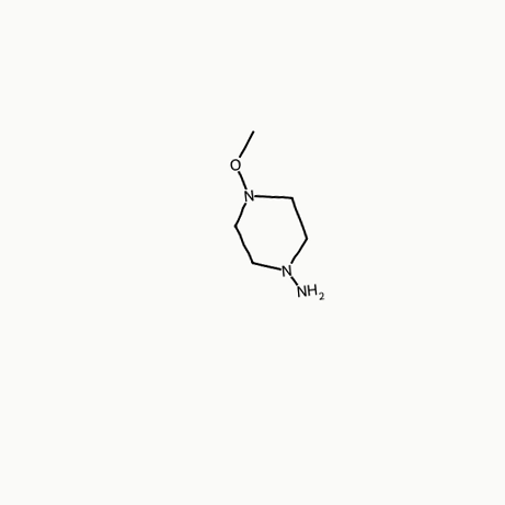 CON1CCN(N)CC1